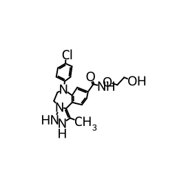 CC1=C2c3ccc(C(=O)NOCCO)cc3N(c3ccc(Cl)cc3)CCN2NN1